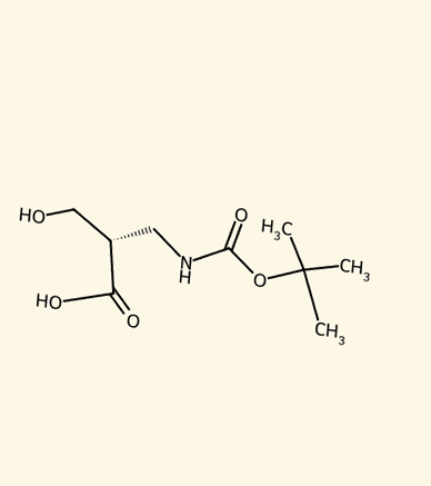 CC(C)(C)OC(=O)NC[C@@H](CO)C(=O)O